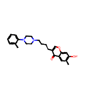 Cc1cc2c(=O)c(CCCCN3CCN(c4ccccc4C)CC3)coc2cc1O